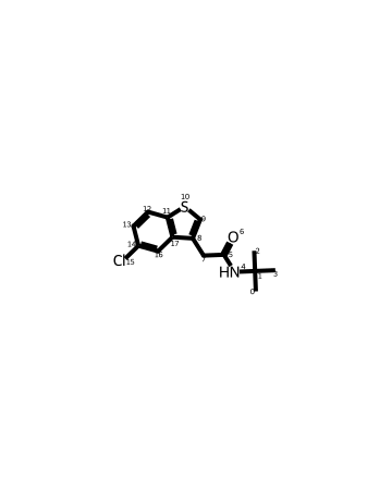 CC(C)(C)NC(=O)Cc1csc2ccc(Cl)cc12